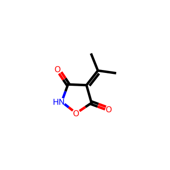 CC(C)=C1C(=O)NOC1=O